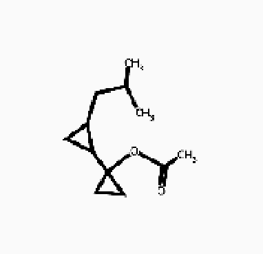 CC(=O)OC1(C2CC2CC(C)C)CC1